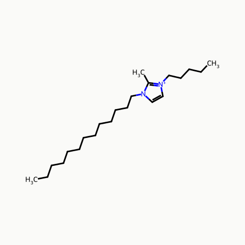 CCCCCCCCCCCCCn1cc[n+](CCCCC)c1C